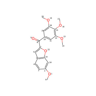 COc1ccc2cc(C(=O)c3cc(OC)c(OC)c(OC)c3)oc2c1